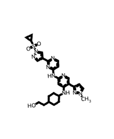 Cn1ccc(-c2cnc(Nc3ccnc(-c4cnn(S(=O)(=O)C5CC5)c4)n3)cc2NC2CCC(CCO)CC2)n1